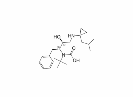 CC(C)CC1(NC[C@H](O)[C@H](Cc2ccccc2)N(C(=O)O)C(C)(C)C)CC1